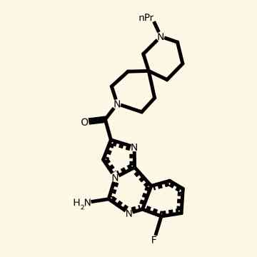 CCCN1CCCC2(CCN(C(=O)c3cn4c(N)nc5c(F)cccc5c4n3)CC2)C1